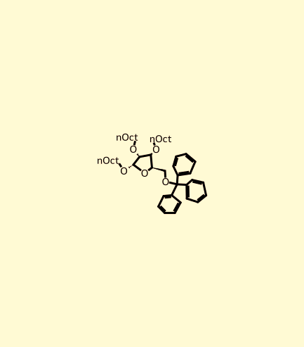 CCCCCCCCO[C@H]1O[C@H](COC(c2ccccc2)(c2ccccc2)c2ccccc2)[C@@H](OCCCCCCCC)[C@H]1OCCCCCCCC